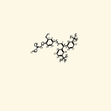 CCc1cc(SCC=C(c2cccc(C(F)(F)F)c2)c2cccc(C(F)(F)F)c2)ccc1OCC(=O)OC